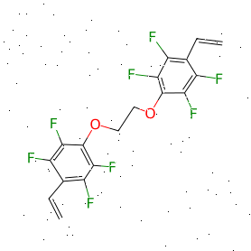 C=Cc1c(F)c(F)c(OCCOc2c(F)c(F)c(C=C)c(F)c2F)c(F)c1F